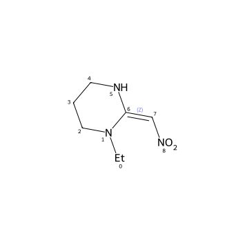 CCN1CCCN/C1=C/[N+](=O)[O-]